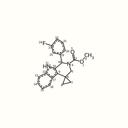 COC(=O)N1CC2(CC2)c2c([nH]c3ccccc23)C1c1cccc(F)c1